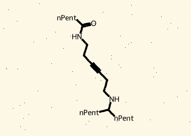 CCCCCC(=O)NCCC#CCCNC(CCCCC)CCCCC